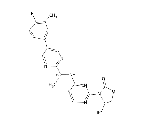 Cc1cc(-c2cnc([C@@H](C)Nc3ncnc(N4C(=O)OCC4C(C)C)n3)nc2)ccc1F